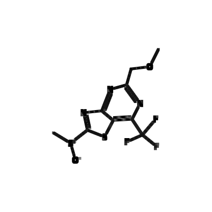 COCc1nc(C(F)(F)F)c2sc([S+](C)[O-])nc2n1